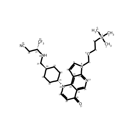 C[Si](C)(C)CCOCn1ccc2c1ncc1c(=O)ccn([C@H]3CC[C@H](CN[C@H](CC#N)C(F)(F)F)CC3)c12